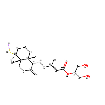 C=C1CC[C@H]2[C@](C)(CCC[C@]2(C)SI)[C@@H]1CC/C(C)=C/C(=O)OC(CO)CO